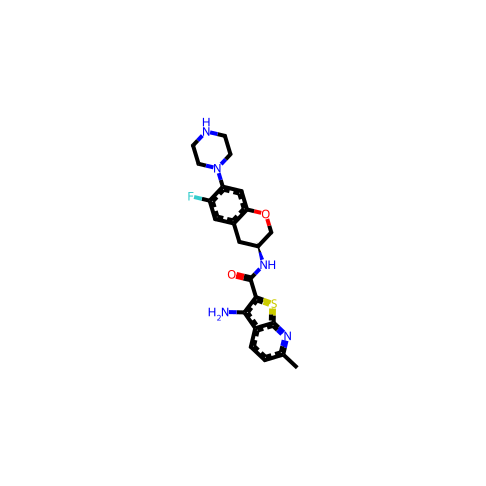 Cc1ccc2c(N)c(C(=O)N[C@@H]3COc4cc(N5CCNCC5)c(F)cc4C3)sc2n1